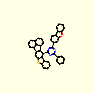 c1ccc(-c2nc(-c3ccc4c(c3)oc3ccccc34)nc(-c3c4c(cc5sc6ccccc6c35)-c3cccc5cccc-4c35)n2)cc1